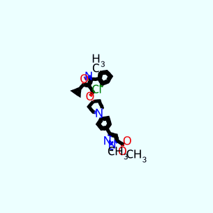 COC(=O)c1cc(-c2ccc(N3CCC(OCc4c(-c5c(C)cccc5Cl)noc4C4CC4)CC3)cc2)nn1C